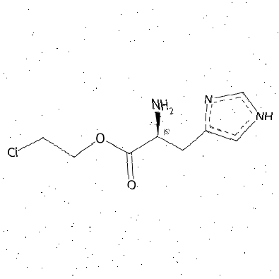 N[C@@H](Cc1c[nH]cn1)C(=O)OCCCl